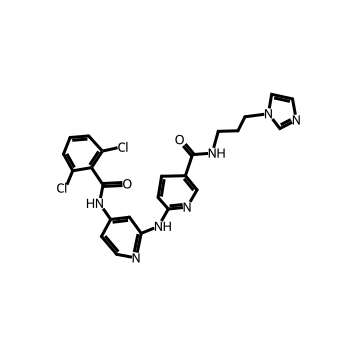 O=C(NCCCn1ccnc1)c1ccc(Nc2cc(NC(=O)c3c(Cl)cccc3Cl)ccn2)nc1